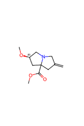 C=C1CN2C[C@H](OC)CC2(C(=O)OC)C1